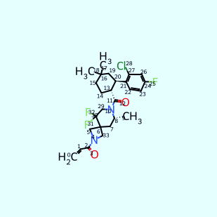 C=CC(=O)N1CC2(C[C@@H](C)N(C(=O)[C@@H]3CCC(C)(C)C[C@H]3c3ccc(F)cc3Cl)CC2(F)F)C1